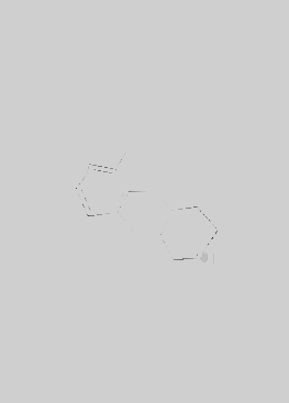 Cc1cccc(C)c1OC1CCNCC1.Cl